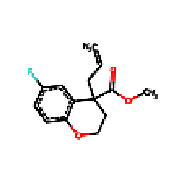 C=CCC1(C(=O)OC)CCOc2ccc(F)cc21